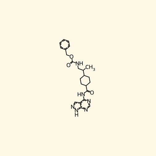 CC(CNC(=O)OCc1ccccc1)C1CCC(C(=O)Nc2ncnc3[nH]ncc23)CC1